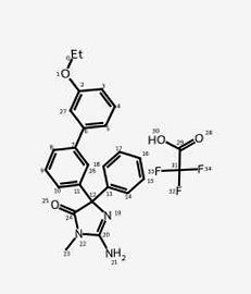 CCOc1cccc(-c2cccc(C3(c4ccccc4)N=C(N)N(C)C3=O)c2)c1.O=C(O)C(F)(F)F